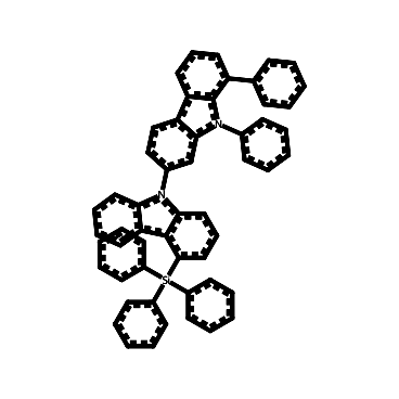 c1ccc(-c2cccc3c4ccc(-n5c6ccccc6c6c([Si](c7ccccc7)(c7ccccc7)c7ccccc7)cccc65)cc4n(-c4ccccc4)c23)cc1